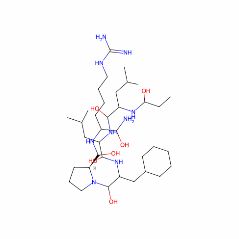 CCC(O)NC(CC(C)C)C(O)NC(CC(C)C)C(O)NC(CC1CCCCC1)C(O)N1CCC[C@H]1C(O)NC(CCCCNC(=N)N)C(N)O